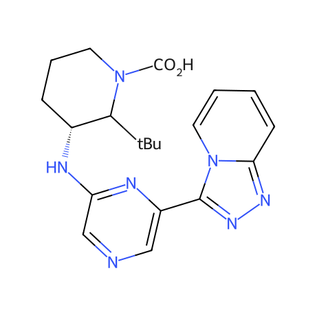 CC(C)(C)C1[C@H](Nc2cncc(-c3nnc4ccccn34)n2)CCCN1C(=O)O